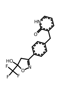 O=c1[nH]cccc1Cc1ccc(C2=NOC(O)(C(F)(F)F)C2)cc1